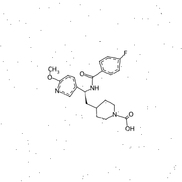 COc1ccc([C@H](CC2CCN(C(=O)O)CC2)NC(=O)c2ccc(F)cc2)cn1